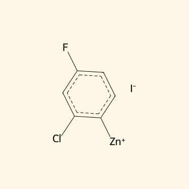 Fc1cc[c]([Zn+])c(Cl)c1.[I-]